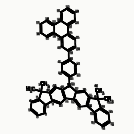 CC1(C)c2ccccc2-c2cc3c4cc5c(cc4n(-c4ccc(-c6ccc7c8ccccc8c8ccccc8c7c6)cc4)c3cc21)C(C)(C)c1ccccc1-5